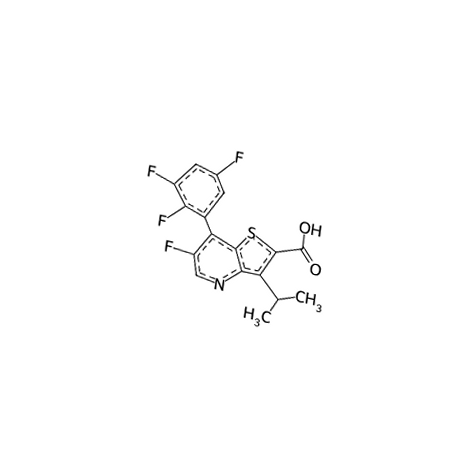 CC(C)c1c(C(=O)O)sc2c(-c3cc(F)cc(F)c3F)c(F)cnc12